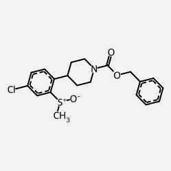 C[S+]([O-])c1cc(Cl)ccc1C1CCN(C(=O)OCc2ccccc2)CC1